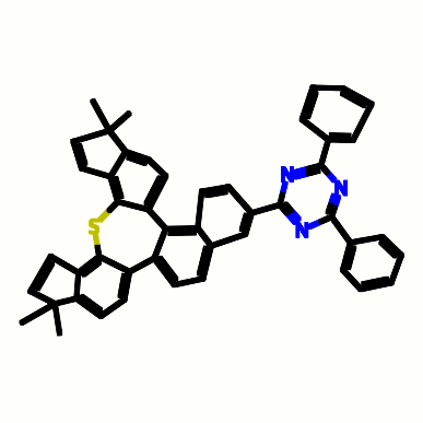 CC1(C)C=Cc2c1ccc1c2Sc2c(ccc3c2C=CC3(C)C)-c2c-1ccc1cc(-c3nc(-c4ccccc4)nc(-c4ccccc4)n3)ccc21